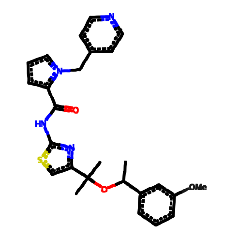 COc1cccc(C(C)OC(C)(C)c2csc(NC(=O)c3cccn3Cc3ccncc3)n2)c1